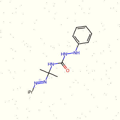 CC(C)/N=N/C(C)(C)NC(=O)NNc1ccccc1